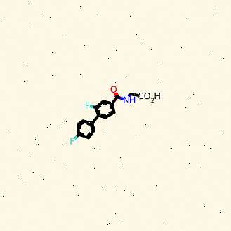 O=C(O)CNC(=O)c1ccc(-c2ccc(F)cc2)c(F)c1